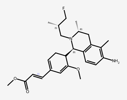 COC(=O)/C=C/C1=CCC([C@@H]2c3ccc(N)c(C)c3C[C@@H](C)N2C[C@H](C)CF)C(OC)=C1